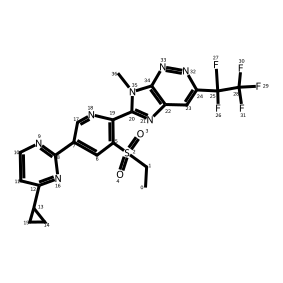 CCS(=O)(=O)c1cc(-c2nccc(C3CC3)n2)cnc1-c1nc2cc(C(F)(F)C(F)(F)F)nnc2n1C